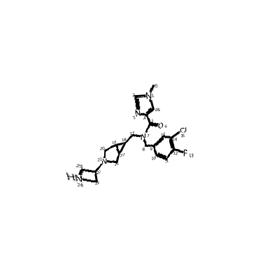 Cn1cnc(C(=O)N(Cc2ccc(F)c(Cl)c2)CC2C3CN(C4CNC4)CC23)c1